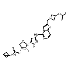 O=C(NC12CC(C1)C2)O[C@@H]1CO[C@H](c2cc(Nc3nccc4nc(CN5CC(OC(F)F)C5)cn34)n[nH]2)[C@@H]1F